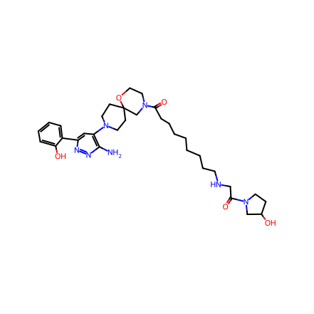 Nc1nnc(-c2ccccc2O)cc1N1CCC2(CC1)CN(C(=O)CCCCCCCCNCC(=O)N1CCC(O)C1)CCO2